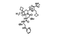 CC(C)(C)[C@H](NC(=O)N[C@H](CNc1ccccn1)C(C)(C)C)C(=O)N1CC2(C[C@H]1C(=O)NC(CC1CCC1)C(=O)C(N)=O)C(C)(C)C21CCC1